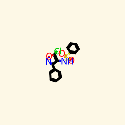 O=S(=O)(Nc1c(-c2ccccc2)noc1Cl)c1ccccc1